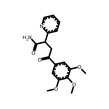 COc1cc(C(=O)CC(C(N)=O)c2ccccn2)cc(OC)c1OC